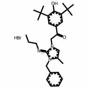 Br.CCC/N=c1\n(CC(=O)c2cc(C(C)(C)C)c(O)c(C(C)(C)C)c2)cc(C)n1Cc1ccccc1